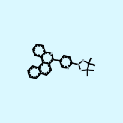 CC1(C)OB(c2ccc(-c3nc4ccccc4c4c3ccc3ccccc34)cn2)OC1(C)C